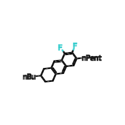 CCCCCc1cc2cc3c(cc2c(F)c1F)CC(CCCC)CC3